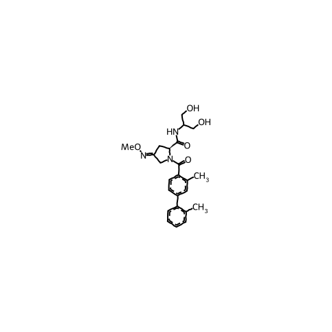 CO/N=C1\C[C@@H](C(=O)NC(CO)CO)N(C(=O)c2ccc(-c3ccccc3C)cc2C)C1